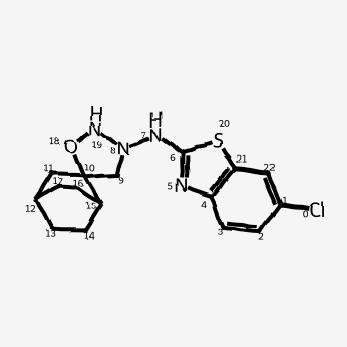 Clc1ccc2nc(NN3CC4(CC5CCC4CC5)ON3)sc2c1